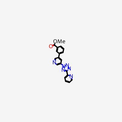 COC(=O)c1cccc(-c2cncc(-n3nnc(-c4ccccn4)n3)c2)c1